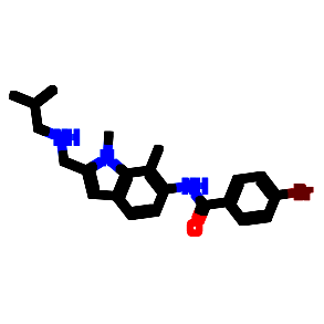 Cc1c(NC(=O)c2ccc(Br)cc2)ccc2cc(CNCC(C)C)n(C)c12